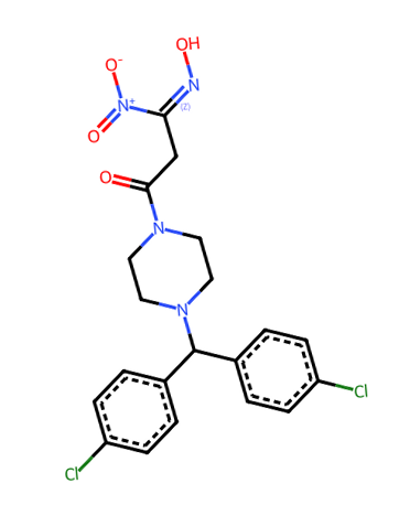 O=C(C/C(=N/O)[N+](=O)[O-])N1CCN(C(c2ccc(Cl)cc2)c2ccc(Cl)cc2)CC1